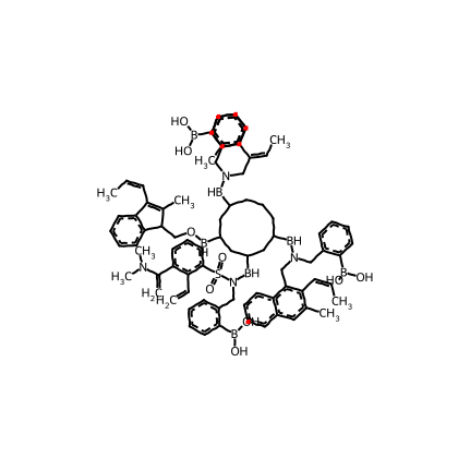 C=Cc1c(C(=C)N(C)C)cccc1S(=O)(=O)N(BC1CC(BN(Cc2ccccc2B(O)O)Cc2c(/C=C\C)c(C)cc3ccccc23)CCCC(BN(C/C(=C/C)c2ccccc2C)Cc2ccccc2B(O)O)CC(BOCC2C(C)=C(/C=C\C)c3ccccc32)C1)Cc1ccccc1B(O)O